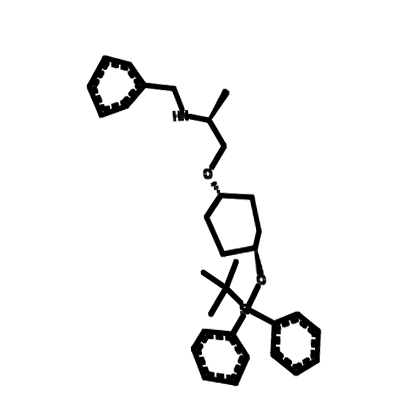 C[C@@H](CO[C@H]1CC[C@H](O[Si](c2ccccc2)(c2ccccc2)C(C)(C)C)CC1)NCc1ccccc1